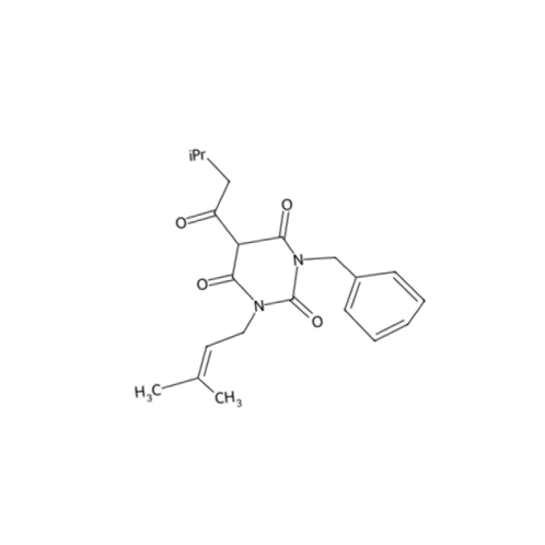 CC(C)=CCN1C(=O)C(C(=O)CC(C)C)C(=O)N(Cc2ccccc2)C1=O